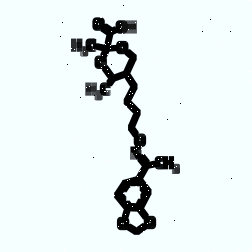 CC(=NOCCCCC1COC(C)(C(=O)O)OC1C)c1ccc2c(c1)OCO2